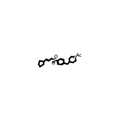 CC(=O)N1CCC(Cc2ccc(S(=O)(=O)CC=CC3CCCC3)cc2)CC1